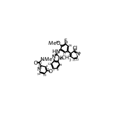 CNC(=O)c1cc(Oc2ccc3c(c2)nc(Nc2cc(-c4cccnc4Cl)cc(F)c2OC)n3C)ccn1